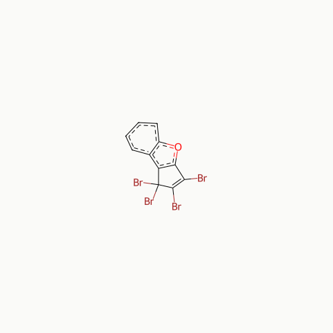 BrC1=C(Br)C(Br)(Br)c2c1oc1ccccc21